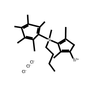 CCCC[Si](C)(C1=C(C)C[C]([Ti+3])=C1C)c1c(C)c(C)c(C)c(C)c1C.[Cl-].[Cl-].[Cl-]